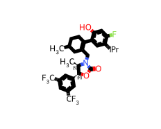 CC1CCC(c2cc(C(C)C)c(F)cc2O)=C(CN2C(=O)O[C@H](c3cc(C(F)(F)F)cc(C(F)(F)F)c3)[C@@H]2C)C1